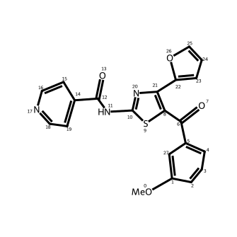 COc1cccc(C(=O)c2sc(NC(=O)c3ccncc3)nc2-c2ccco2)c1